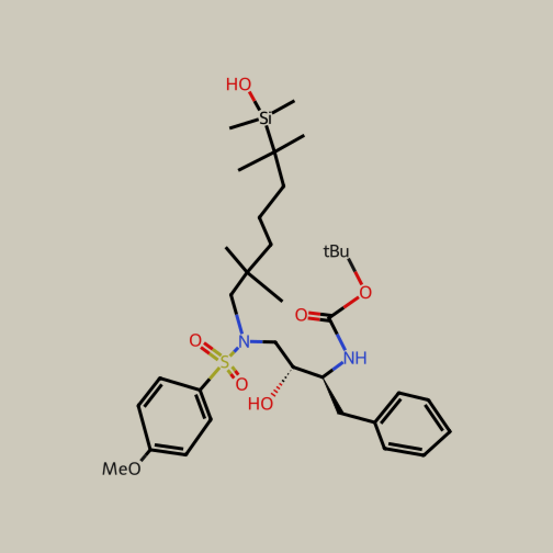 COc1ccc(S(=O)(=O)N(C[C@@H](O)[C@H](Cc2ccccc2)NC(=O)OC(C)(C)C)CC(C)(C)CCCC(C)(C)[Si](C)(C)O)cc1